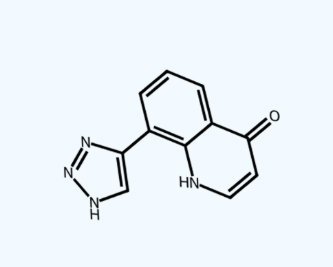 O=c1cc[nH]c2c(-c3c[nH]nn3)cccc12